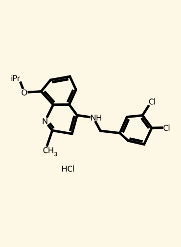 Cc1cc(NCc2ccc(Cl)c(Cl)c2)c2cccc(OC(C)C)c2n1.Cl